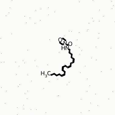 CCCCC/C=C\C/C=C\C/C=C\C/C=C\CCCCNC(=O)N1CCOCC1